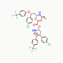 CNC(CC(Oc1ccc(C(F)(F)F)cc1)c1ccc(Cl)cc1)OC(=O)C(=O)OC(CC(Oc1ccc(C(F)(F)F)cc1)c1ccc(Cl)cc1)NC